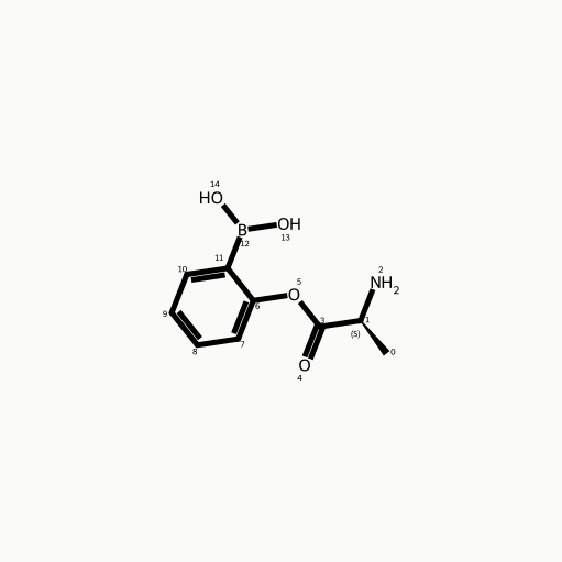 C[C@H](N)C(=O)Oc1ccccc1B(O)O